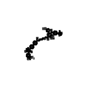 Cc1ncsc1-c1ccc(CN(C(=O)C(NC(=O)COCCCCNc2ccc(-c3ccc(N4C(=S)N(c5ccc(C#N)c(C(F)(F)F)c5)C(=O)C4(C)C)cc3)cc2)C(C)(C)C)C(=O)[C@@H]2C[C@@H](O)CN2)cc1